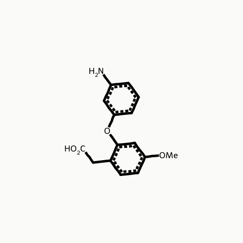 COc1ccc(CC(=O)O)c(Oc2cccc(N)c2)c1